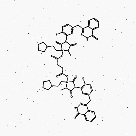 CC1C(=O)N(c2cc(Cc3n[nH]c(=O)c4ccccc34)ccc2F)C(=O)[N+]1(CCN1CCCC1)OC(=O)CCC(=O)O[N+]1(CCN2CCCC2)C(=O)N(c2cc(Cc3n[nH]c(=O)c4ccccc34)ccc2F)C(=O)C1C